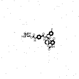 O=C(Nc1ccc(C(=O)N[C@@H](Cc2cccc(F)c2)C(=O)N2CCC[C@@]3(C2)OC(=O)Nc2ccc(Cl)c(F)c23)cc1)OCCP(=O)(O)O